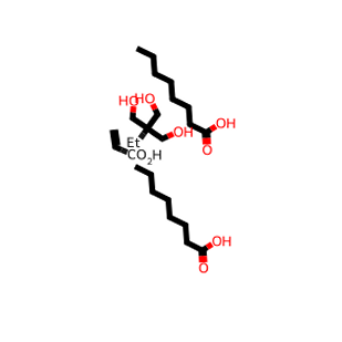 C=CC(=O)O.CCC(CO)(CO)CO.CCCCCCCC(=O)O.CCCCCCCC(=O)O